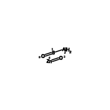 O=[B][AlH2].[O]=[Zn]